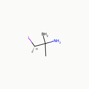 BC(C)(N)[C@H](C)I